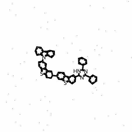 C1=c2sc3ccc(-n4c5ccccc5c5ccccc54)cc3c2=CC(c2ccc3c(c2)sc2ccc(C4N=C(c5ccccc5)N=C(c5ccccc5)N4)cc23)C1